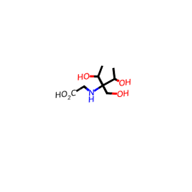 CC(O)C(CO)(NCC(=O)O)C(C)O